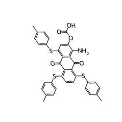 Cc1ccc(Sc2ccc(Sc3ccc(C)cc3)c3c2C(=O)c2c(Sc4ccc(C)cc4)cc(OC(=O)O)c(N)c2C3=O)cc1